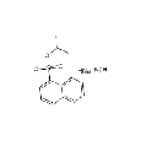 CC(C)OS(=O)(=O)c1cccc2ccccc12.[NaH].[NaH]